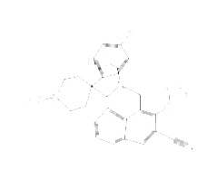 CCN(Cc1c(OC)c(C#N)cc2ccccc12)CC1(c2ccc(F)cc2)CCN(C)CC1